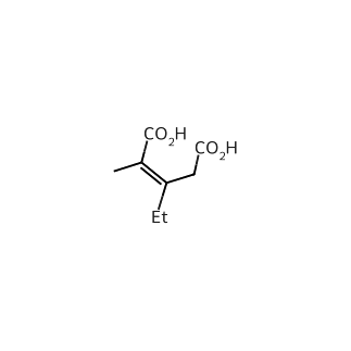 CCC(CC(=O)O)=C(C)C(=O)O